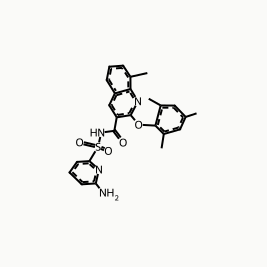 Cc1cc(C)c(Oc2nc3c(C)cccc3cc2C(=O)NS(=O)(=O)c2cccc(N)n2)c(C)c1